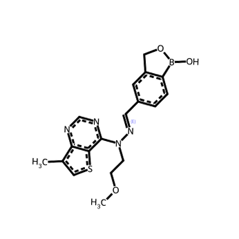 COCCN(/N=C/c1ccc2c(c1)COB2O)c1ncnc2c(C)csc12